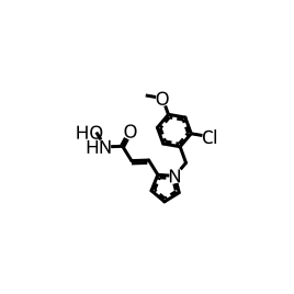 COc1ccc(Cn2cccc2C=CC(=O)NO)c(Cl)c1